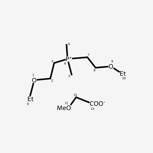 CCOCC[P+](C)(C)CCOCC.COCC(=O)[O-]